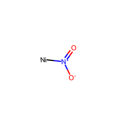 O=[N+]([O-])[Ni]